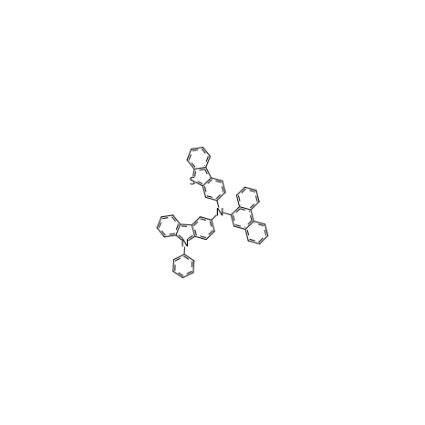 c1ccc(-n2c3ccccc3c3cc(N(c4ccc5c(c4)sc4ccccc45)c4cc5ccccc5c5ccccc45)ccc32)cc1